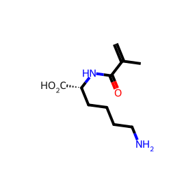 C=C(C)C(=O)N[C@H](CCCCN)C(=O)O